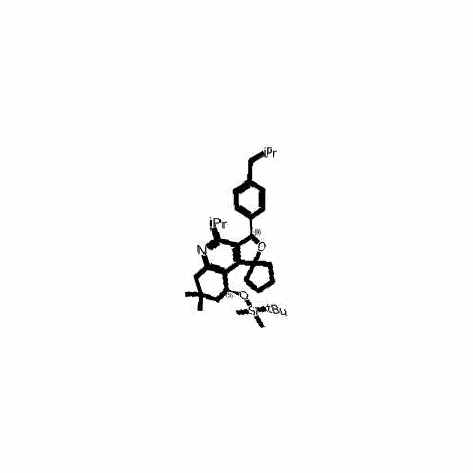 CC(C)Cc1ccc([C@H]2OC3(CCCC3)c3c2c(C(C)C)nc2c3[C@@H](O[Si](C)(C)C(C)(C)C)CC(C)(C)C2)cc1